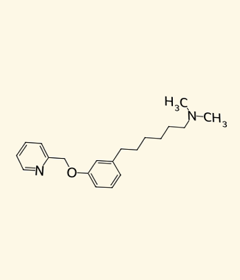 CN(C)CCCCCCc1cccc(OCc2ccccn2)c1